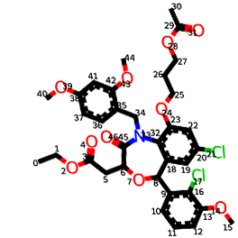 CCOC(=O)CC1OC(c2cccc(OC)c2Cl)c2cc(Cl)cc(OCCCOC(C)=O)c2N(Cc2ccc(OC)cc2OC)C1=O